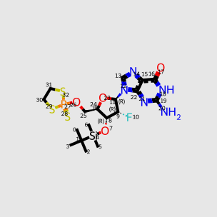 CC(C)(C)[Si](C)(C)O[C@H]1[C@@H](F)[C@H](n2cnc3c(=O)[nH]c(N)nc32)O[C@@H]1COP1(=S)SCCS1